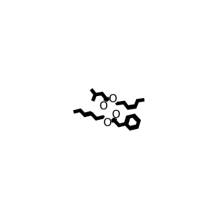 CC/C=C\CCOC(=O)CC(C)C.CCC=CCCOC(=O)Cc1ccccc1